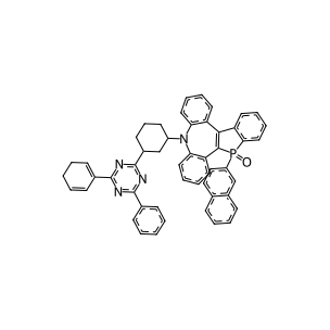 O=P1(c2ccc3ccccc3c2)C2=C(c3ccccc3N(C3CCCC(c4nc(C5=CCCC=C5)nc(-c5ccccc5)n4)C3)c3ccccc32)c2ccccc21